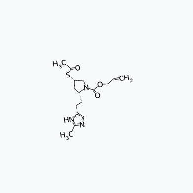 C=CCOC(=O)N1C[C@@H](SC(C)=O)C[C@H]1CCc1cnc(C)[nH]1